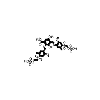 COc1cc(S(=O)(=O)COS(=O)(=O)O)c(C)cc1N=Nc1c(O)cc(C(=O)O)c(N=Nc2cc(C)c(S(=O)(=O)CCOS(=O)(=O)O)cc2OC)c1O